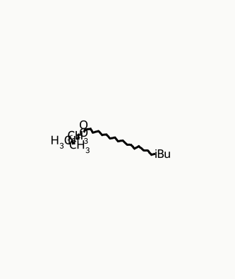 CCC(C)CCCCCCCCCCCCCCCCC(=O)OCC[N+](C)(C)C